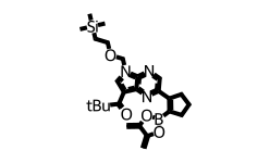 C=C1OB(C2=C(c3cnc4c(n3)c(C(=O)C(C)(C)C)cn4COCC[Si](C)(C)C)CCC2)OC1=C